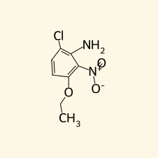 CCOc1ccc(Cl)c(N)c1[N+](=O)[O-]